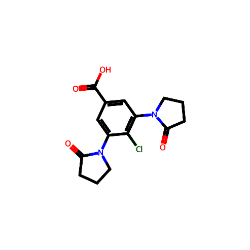 O=C(O)c1cc(N2CCCC2=O)c(Cl)c(N2CCCC2=O)c1